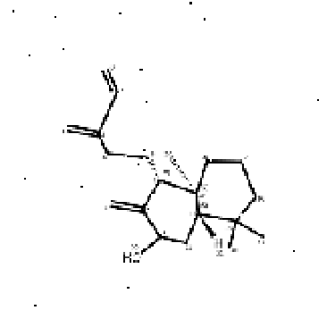 C=CC(=C)CC[C@H]1C(=C)C(O)C[C@H]2C(C)(C)CCC[C@]12C